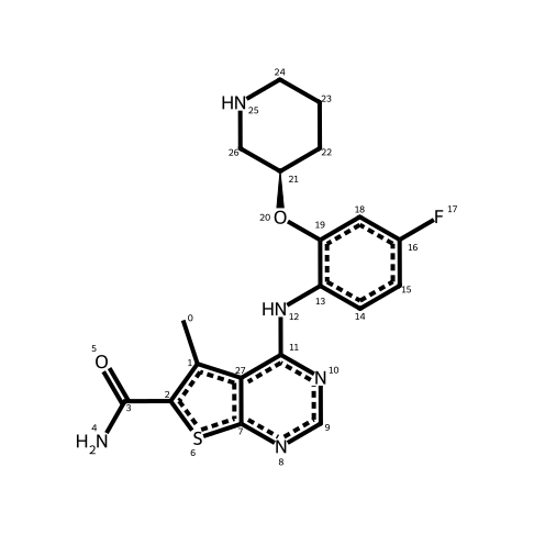 Cc1c(C(N)=O)sc2ncnc(Nc3ccc(F)cc3O[C@@H]3CCCNC3)c12